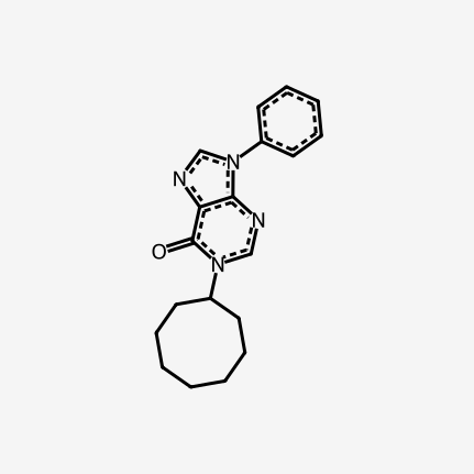 O=c1c2ncn(-c3ccccc3)c2ncn1C1CCCCCCC1